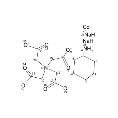 C1CCCCC1.N.O=C([O-])C[N+](CC(=O)[O-])(CC(=O)[O-])CC(=O)[O-].[Co].[NaH].[NaH]